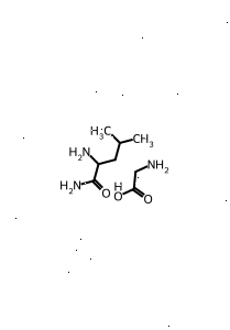 CC(C)CC(N)C(N)=O.NCC(=O)O